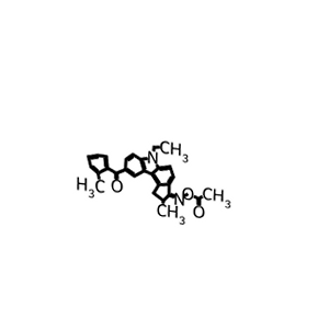 CCn1c2ccc(C(=O)c3ccccc3C)cc2c2c3c(ccc21)/C(=N\OC(C)=O)C(C)C3